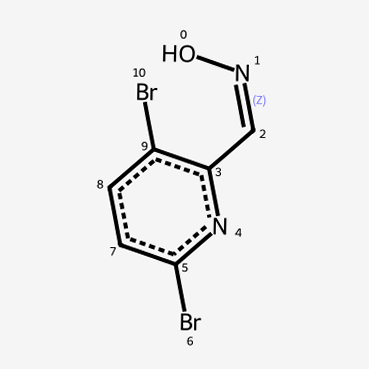 O/N=C\c1nc(Br)ccc1Br